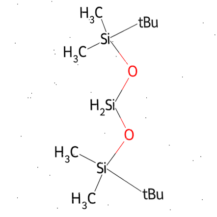 CC(C)(C)[Si](C)(C)O[SiH2]O[Si](C)(C)C(C)(C)C